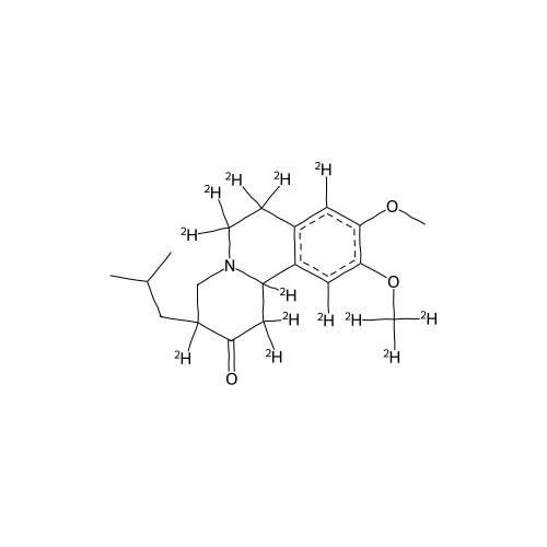 [2H]c1c(OC)c(OC([2H])([2H])[2H])c([2H])c2c1C([2H])([2H])C([2H])([2H])N1CC([2H])(CC(C)C)C(=O)C([2H])([2H])C21[2H]